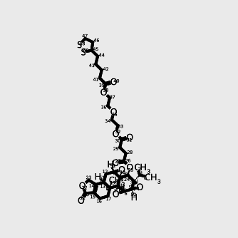 CC(C)[C@]12O[C@H]1[C@@H]1O[C@]13[C@]1(O[C@H]1C[C@H]1C4=C(CC[C@@]13C)C(=O)OC4)[C@@H]2OC(=O)CCC(=O)OCCOCCOC(=O)CCCCC1CCSS1